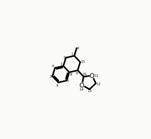 CC1Cc2ccccc2C(C2OCCO2)C1